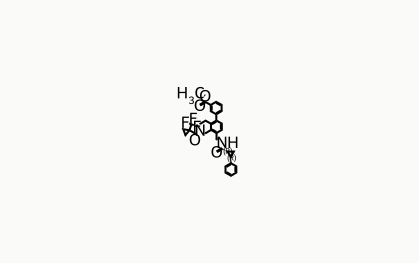 COC(=O)c1cccc(-c2ccc(CNC(=O)[C@@H]3C[C@H]3c3ccccc3)c3c2CCN(C(=O)C2(C(F)(F)F)CC2)C3)c1